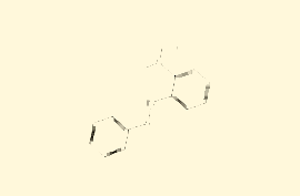 CN(C)c1ccccc1NNc1ccccc1